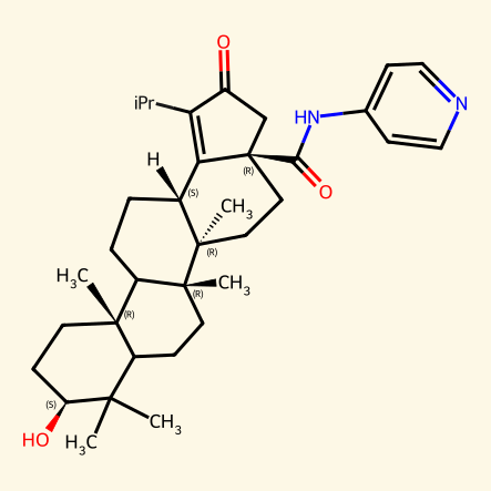 CC(C)C1=C2[C@H]3CCC4[C@@]5(C)CC[C@H](O)C(C)(C)C5CC[C@@]4(C)[C@]3(C)CC[C@@]2(C(=O)Nc2ccncc2)CC1=O